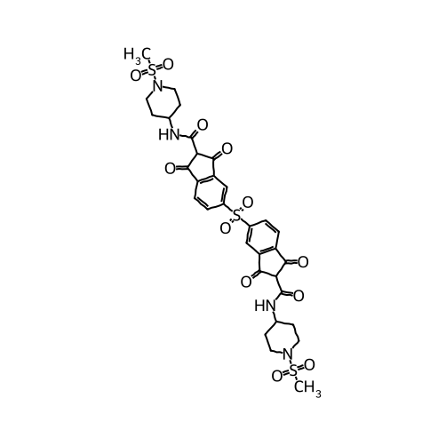 CS(=O)(=O)N1CCC(NC(=O)C2C(=O)c3ccc(S(=O)(=O)c4ccc5c(c4)C(=O)C(C(=O)NC4CCN(S(C)(=O)=O)CC4)C5=O)cc3C2=O)CC1